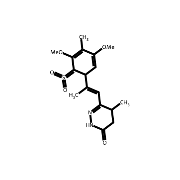 COC1=CC(C(C)=CC2=NNC(=O)CC2C)C(=S(=O)=O)C(OC)=C1C